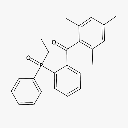 CCP(=O)(c1ccccc1)c1ccccc1C(=O)c1c(C)cc(C)cc1C